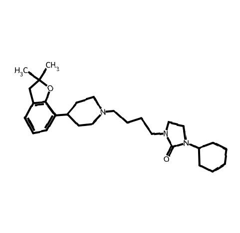 CC1(C)Cc2cccc(C3CCN(CCCCN4CCN(C5CCCCC5)C4=O)CC3)c2O1